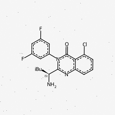 CCC(C)[C@H](N)c1nc2cccc(Cl)c2c(=O)n1-c1cc(F)cc(F)c1